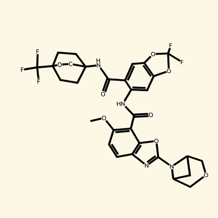 COc1ccc2nc(N3C4COCC3C4)oc2c1C(=O)Nc1cc2c(cc1C(=O)NC13CCC(C(F)(F)F)(CC1)OC3)OC(F)(F)O2